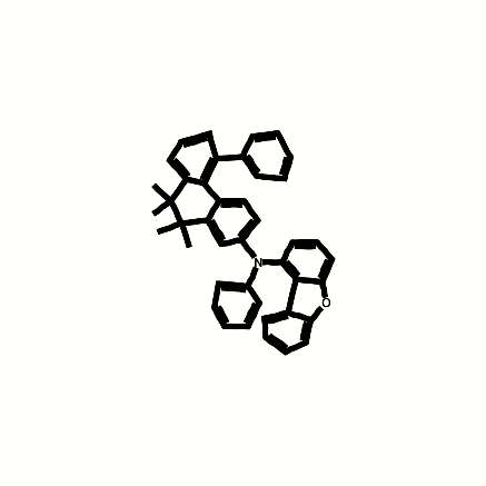 CC1(C)c2cc(N(c3ccccc3)c3cccc4oc5ccccc5c34)ccc2-c2c(-c3ccccc3)cccc2C1(C)C